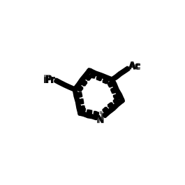 CC(=O)c1cncc(C(C)C)c1